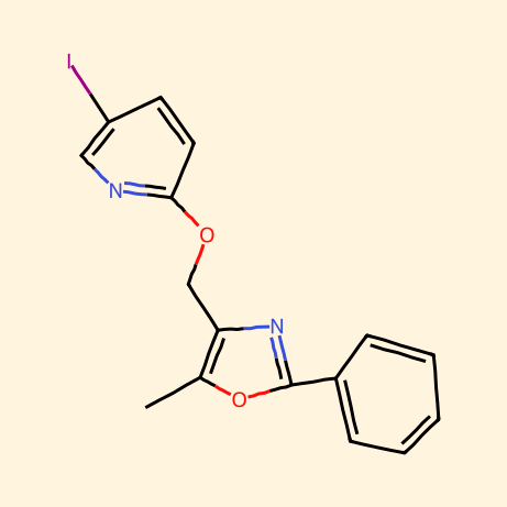 Cc1oc(-c2ccccc2)nc1COc1ccc(I)cn1